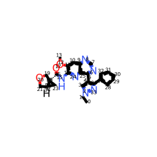 CCn1cc(-c2ncnc3cc(OC)c(NC(=O)[C@@]45COC[C@@H]4C5)nc23)c(-c2ccccc2)n1